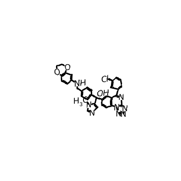 Cn1cncc1C(O)(c1ccc(CNc2ccc3c(c2)OCCO3)cc1)c1ccc2c(c1)c(-c1cccc(Cl)c1)nc1nnnn12